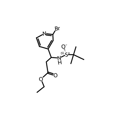 CCOC(=O)CC(N[S@+]([O-])C(C)(C)C)c1ccnc(Br)c1